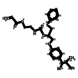 C=CC(=O)OCCNC(=O)OC(COc1ccc(C(CC)C(C)C(C)C)cc1)CSc1ccccc1